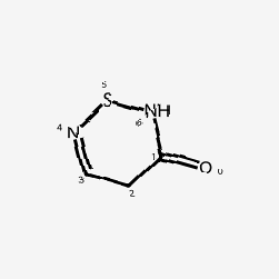 O=C1CC=NSN1